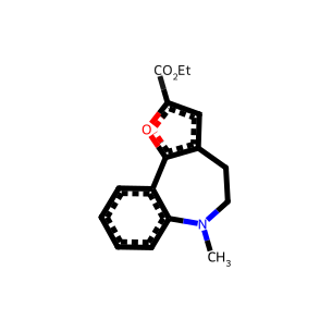 CCOC(=O)c1cc2c(o1)-c1ccccc1N(C)CC2